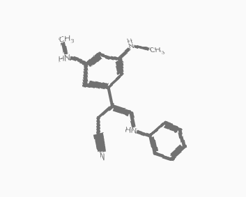 CNc1cc(NC)cc(C(=CNc2ccccc2)CC#N)c1